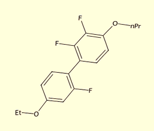 CCCOc1ccc(-c2ccc(OCC)cc2F)c(F)c1F